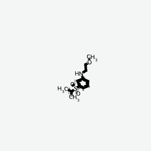 COCCNc1cccc(S(=O)(=O)C(C)C)c1